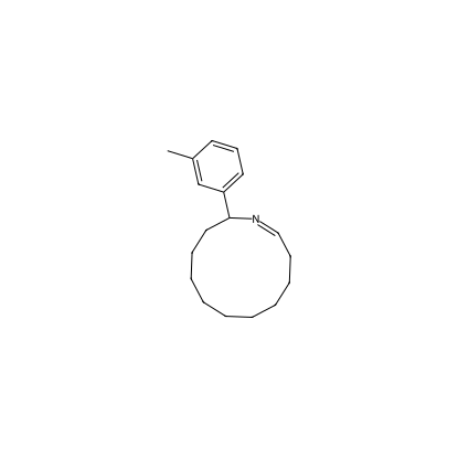 Cc1cccc(C2CCCCCCCCCC=N2)c1